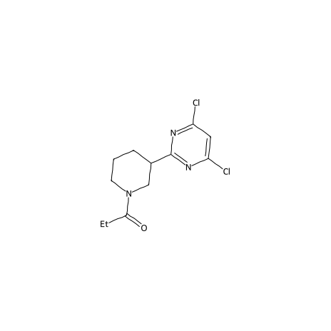 CCC(=O)N1CCCC(c2nc(Cl)cc(Cl)n2)C1